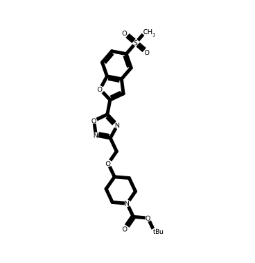 CC(C)(C)OC(=O)N1CCC(OCc2noc(-c3cc4cc(S(C)(=O)=O)ccc4o3)n2)CC1